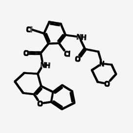 O=C(CN1CCOCC1)Nc1ccc(Cl)c(C(=O)NC2CCCc3oc4ccccc4c32)c1Cl